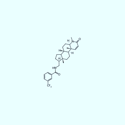 CN1C(=O)C=C[C@]2(C)[C@H]3CC[C@]4(C)C(CNC(=O)c5cccc(C(F)(F)F)c5)CC[C@H]4[C@@H]3CC[C@@H]12